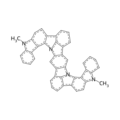 Cn1c2ccccc2c2c1ccc1c3cccc4c5cc6c(cc5n(c43)c12)c1cccc2c3ccc4c(c5ccccc5n4C)c3n6c12